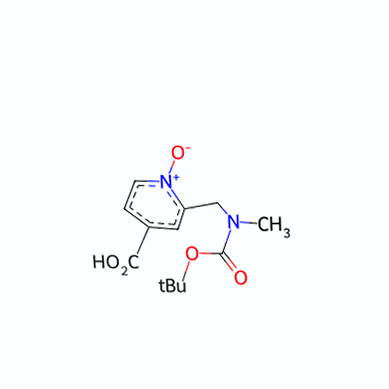 CN(Cc1cc(C(=O)O)cc[n+]1[O-])C(=O)OC(C)(C)C